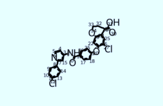 O=C(Nc1ccnc(-c2ccc(Cl)cc2)c1)c1ccc(Oc2cc3c(cc2Cl)C(C(=O)O)CCO3)cc1